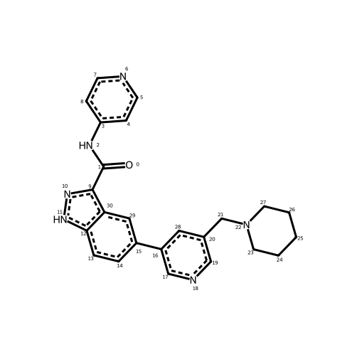 O=C(Nc1ccncc1)c1n[nH]c2ccc(-c3cncc(CN4CCCCC4)c3)cc12